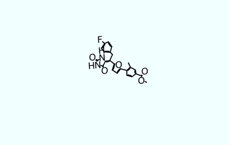 COC(=O)c1ccc(-c2ccc(C(Cc3ccc(F)cc3)=C3NC(=O)NC3=O)o2)c(C)c1